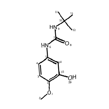 COc1ccc(NC(=O)NC(C)(C)C)cc1O